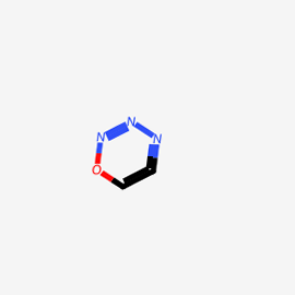 C1=CON=NN=1